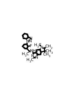 C=C1N(C)c2cc3c(N[C@H](C)c4cccc(-n5nnc6ccccc65)c4F)nc(C)nc3cc2C1(C)C